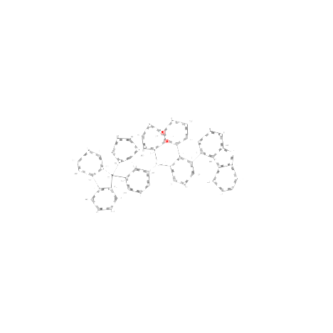 c1ccc(-c2c(-c3cccc4oc5ccccc5c34)cccc2N(c2ccccc2)c2cccc(C3(c4ccccc4)c4ccccc4-c4ccccc43)c2)cc1